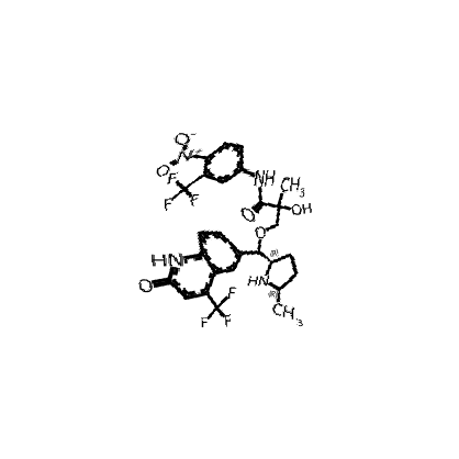 C[C@@H]1CC[C@H](C(OCC(C)(O)C(=O)Nc2ccc([N+](=O)[O-])c(C(F)(F)F)c2)c2ccc3[nH]c(=O)cc(C(F)(F)F)c3c2)N1